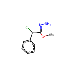 CC(C)(C)OC(=NN)C(Cl)c1ccccc1